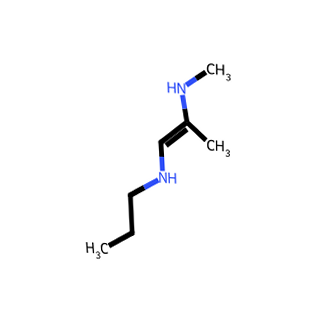 CCCN/C=C(\C)NC